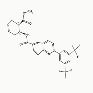 COC(=O)[C@@H]1CC=CC[C@@H]1NC(=O)c1ccc2nc(-c3cc(C(F)(F)F)cc(C(F)(F)F)c3)ccc2c1